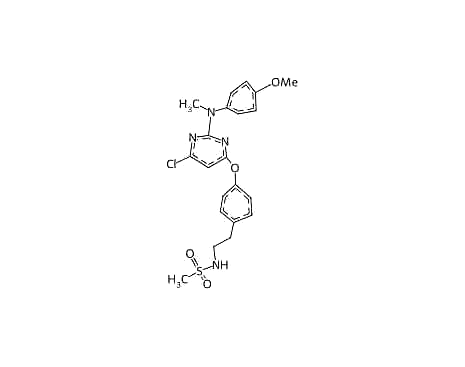 COc1ccc(N(C)c2nc(Cl)cc(Oc3ccc(CCNS(C)(=O)=O)cc3)n2)cc1